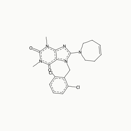 Cn1c(=O)c2c(nc(N3CCC=CCC3)n2Cc2c(Cl)cccc2Cl)n(C)c1=O